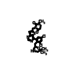 CN1CCC(=O)N(Cc2cc3ncnc(-c4cc(Cl)cc(Cl)c4CC4CNCC(C)(C)O4)c3s2)C1=O